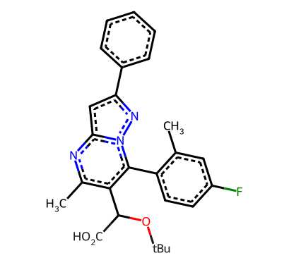 Cc1cc(F)ccc1-c1c(C(OC(C)(C)C)C(=O)O)c(C)nc2cc(-c3ccccc3)nn12